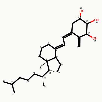 C=C1/C(=C\C=C2/CCC[C@@]3(C)C2CC[C@@H]3[C@H](C)CCCC(C)C)C[C@@H](O)C(O)C1O